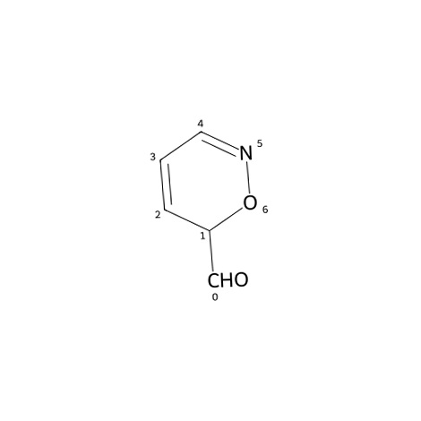 O=CC1C=CC=NO1